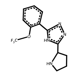 FC(F)(F)Oc1ccccc1-c1nnc(C2CCCN2)[nH]1